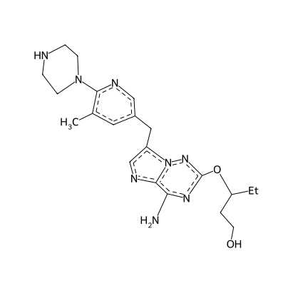 CCC(CCO)Oc1nc(N)c2ncc(Cc3cnc(N4CCNCC4)c(C)c3)n2n1